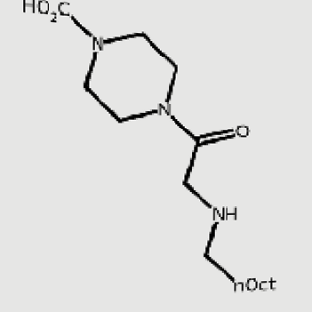 CCCCCCCCCNCC(=O)N1CCN(C(=O)O)CC1